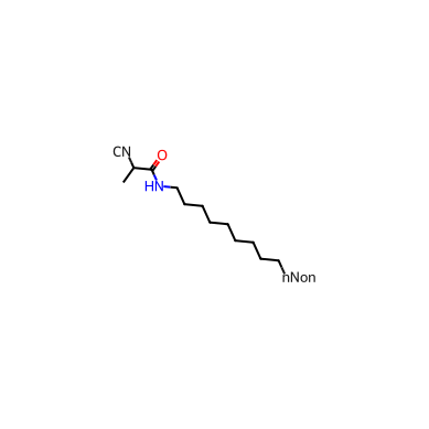 [C-]#[N+]C(C)C(=O)NCCCCCCCCCCCCCCCCCC